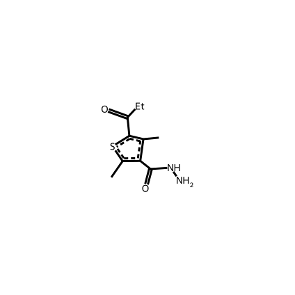 CCC(=O)c1sc(C)c(C(=O)NN)c1C